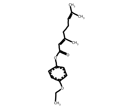 CCOc1ccc(OC(=O)/C=C(\C)CCC=C(C)C)cc1